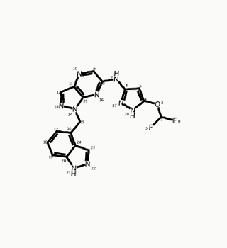 FC(F)Oc1cc(Nc2cnc3cnn(Cc4cccc5[nH]ncc45)c3n2)n[nH]1